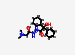 CN(C)CC(=O)NNC(=O)C(O)(c1ccccc1)C1CCCCC1